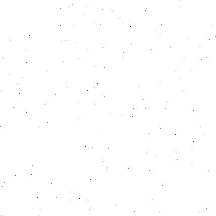 CCOC(=O)/C=C/C1CN(C(=O)OC(C)(C)C)CC(F)(F)C1